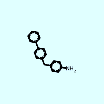 Nc1ccc(Cc2ccc(-c3ccccc3)cc2)cc1